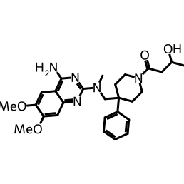 COc1cc2nc(N(C)CC3(c4ccccc4)CCN(C(=O)CC(C)O)CC3)nc(N)c2cc1OC